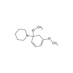 COC1=CC=CC(OC)(N2CCCCC2)C1